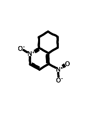 O=[N+]([O-])c1cc[n+]([O-])c2c1CCCC2